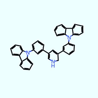 C1=C(c2cccc(-n3c4ccccc4c4ccccc43)c2)C=C(c2cccc(-n3c4ccccc4c4ccccc43)c2)CN1